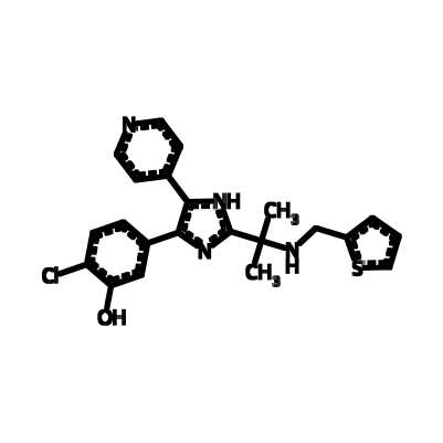 CC(C)(NCc1cccs1)c1nc(-c2ccc(Cl)c(O)c2)c(-c2ccncc2)[nH]1